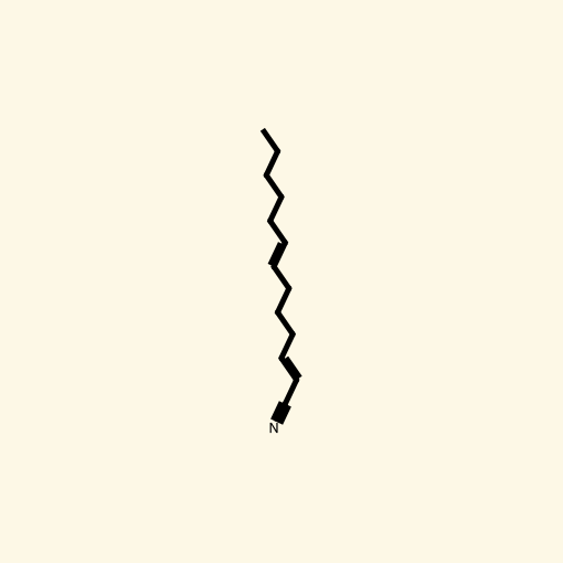 CCCCC/C=C/CCC/C=C/C#N